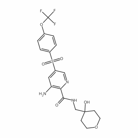 Nc1cc(S(=O)(=O)c2ccc(OC(F)(F)F)cc2)cnc1C(=O)NCC1(O)CCOCC1